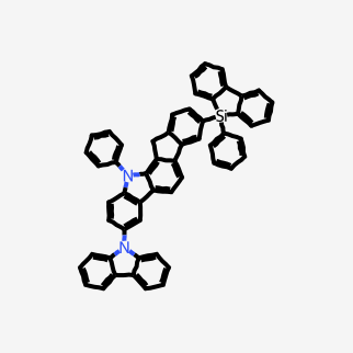 c1ccc(-n2c3ccc(-n4c5ccccc5c5ccccc54)cc3c3ccc4c(c32)Cc2ccc([Si]3(c5ccccc5)c5ccccc5-c5ccccc53)cc2-4)cc1